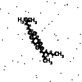 CCCCCC(CCC)COC(=O)OC1CCC(OC(=O)OCCCCC(C)C)CC1